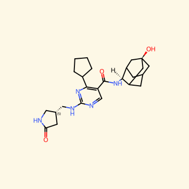 O=C1C[C@@H](CNc2ncc(C(=O)N[C@H]3C4CC5CC3C[C@@](O)(C5)C4)c(C3CCCC3)n2)CN1